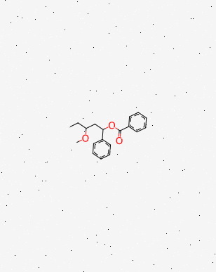 CCC(CC(OC(=O)c1ccccc1)c1ccccc1)OC